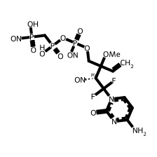 C=CC(COP(=O)(N=O)OP(=O)(O)CP(=O)(O)N=O)(OC)[C@@H](N=O)C(F)(F)n1ccc(N)nc1=O